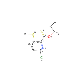 CCC(C)OC(=S)c1nc(Cl)ccc1SC